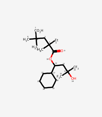 CCC(C)(CC(C)(C)C(=O)O)C(=O)OC(CC(O)(C(F)(F)F)C(F)(F)F)C1CCCCC1